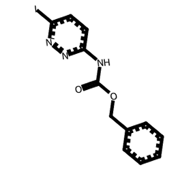 O=C(Nc1ccc(I)nn1)OCc1ccccc1